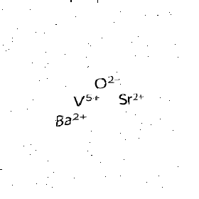 [Ba+2].[O-2].[Sr+2].[V+5]